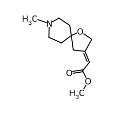 COC(=O)C=C1COC2(CCN(C)CC2)C1